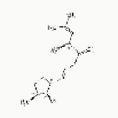 C=C(CC=C[C@H]1CC[C@H](C)[C@@H]1C#N)[C@@H](N)C=C(C)C